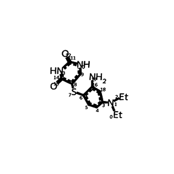 CCN(CC)c1ccc(Sc2c[nH]c(=O)[nH]c2=O)c(N)c1